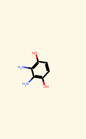 Nc1c(O)ccc(O)c1N